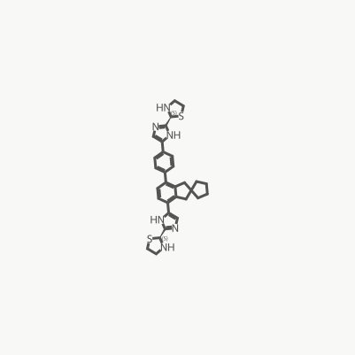 c1cc(-c2ccc(-c3cnc([C@H]4NCCS4)[nH]3)c3c2CC2(CCCC2)C3)ccc1-c1cnc([C@H]2NCCS2)[nH]1